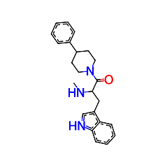 CNC(Cc1c[nH]c2ccccc12)C(=O)N1CCC(c2ccccc2)CC1